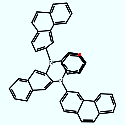 c1ccc(N(c2ccc3ccc4ccccc4c3c2)c2cc3ccccc3cc2N(c2ccccc2)c2ccc3ccc4ccccc4c3c2)cc1